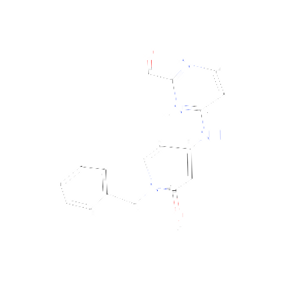 O=Cc1nccc(Nc2ccn(Cc3ccccc3)c(=O)c2)n1